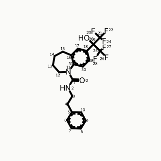 O=C(NCCc1ccccc1)N1CCCCc2cc(C(O)(C(F)(F)F)C(F)(F)F)ccc21